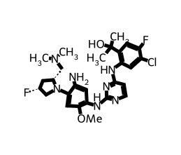 COc1cc(N2C[C@H](F)C[C@@H]2CN(C)C)c(N)cc1Nc1nccc(Nc2cc(Cl)c(F)cc2C(C)(C)O)n1